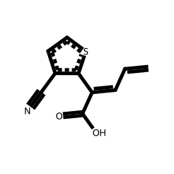 C=C/C=C(/C(=O)O)c1sccc1C#N